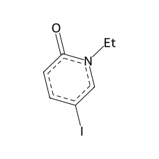 CCn1cc(I)ccc1=O